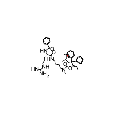 C/C=C(\OC(=O)N(C)CCCCNC(=O)[C@H](CCCNC(=N)N)NC(=O)c1ccccc1)C(C[C@@H](C)N(C)C)(c1ccccc1)c1ccccc1